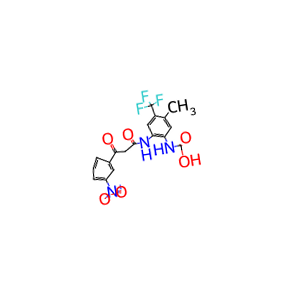 Cc1cc(NC(=O)O)c(NC(=O)CC(=O)c2cccc([N+](=O)[O-])c2)cc1C(F)(F)F